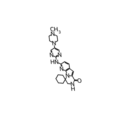 CN1CCN(c2cnc(Nc3ccc4cc5n(c4n3)C3(CCCCC3)CNC5=O)nc2)CC1